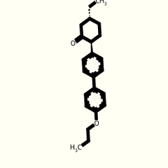 CCCOc1ccc(-c2ccc([C@@H]3CC[C@@H](CC)CC3=O)cc2)cc1